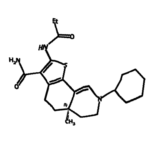 CCC(=O)Nc1sc2c(c1C(N)=O)CC[C@]1(C)CCN(C3CCCCC3)C=C21